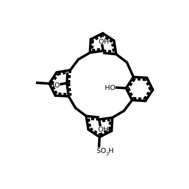 Cc1cc2c(O)c(c1)Cc1cc(S(=O)(=O)O)cc(c1O)Cc1cccc(c1O)Cc1cccc(c1O)C2